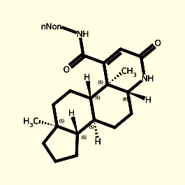 CCCCCCCCCNC(=O)C1=CC(=O)N[C@@H]2CC[C@H]3[C@@H]4CCC[C@@]4(C)CC[C@@H]3[C@@]12C